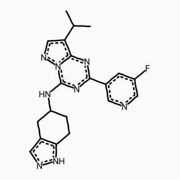 CC(C)c1cnn2c(NC3CCc4[nH]ncc4C3)nc(-c3cncc(F)c3)nc12